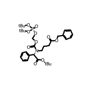 CC(C)(C)OC(=O)[C@H](c1ccccc1)N(CCCC(=O)OCc1ccccc1)C(=O)OCOP(=O)(OC(C)(C)C)OC(C)(C)C